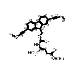 CC(C)(C)OC(=O)CC[C@H](NC(=O)OCC1c2cc(C#CSI)ccc2-c2ccc(C#CSI)cc21)C(=O)O